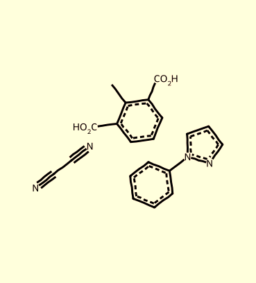 Cc1c(C(=O)O)cccc1C(=O)O.N#CC#N.c1ccc(-n2cccn2)cc1